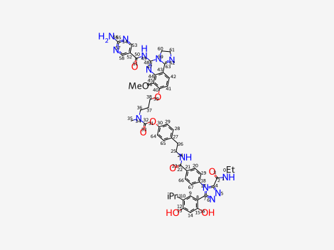 CCNC(=O)c1nnc(-c2cc(C(C)C)c(O)cc2O)n1-c1ccc(C(=O)NCCc2ccc(OC(=O)N(C)CCCOc3ccc4c(c3OC)N=C(NC(=O)c3cnc(N)nc3)N3CCN=C43)cc2)cc1